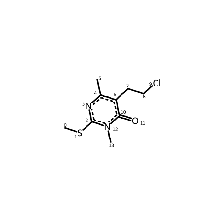 CSc1nc(C)c(CCCl)c(=O)n1C